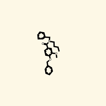 CCCCN(Cc1ccccc1)C(=O)c1ccc(OCc2ccccc2)c(OC)c1